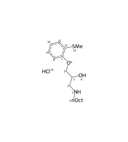 CCCCCCCCNCC(O)COc1ccccc1SC.Cl